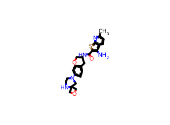 Cc1ccc2c(N)c(C(=O)N[C@H]3COc4cc(N5CCNC6(COC6)C5)ccc4C3)sc2n1